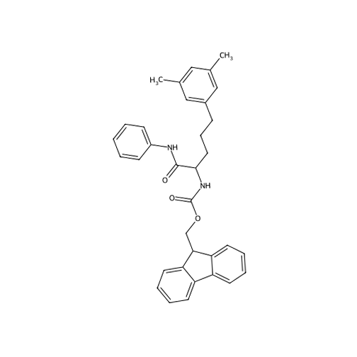 Cc1cc(C)cc(CCCC(NC(=O)OCC2c3ccccc3-c3ccccc32)C(=O)Nc2ccccc2)c1